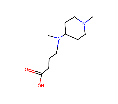 CN1CCC(N(C)CCCC(=O)O)CC1